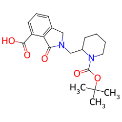 CC(C)(C)OC(=O)N1CCCCC1CN1Cc2cccc(C(=O)O)c2C1=O